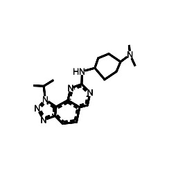 CC(C)n1nnc2ccc3cnc(NC4CCC(N(C)C)CC4)nc3c21